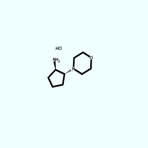 Cl.N[C@@H]1CCC[C@H]1N1CCOCC1